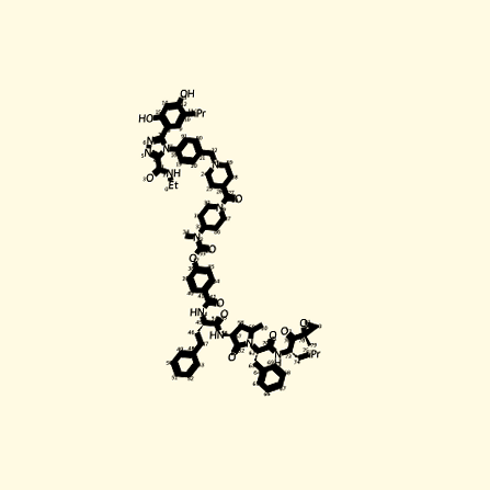 CCNC(=O)c1nnc(-c2cc(C(C)C)c(O)cc2O)n1-c1ccc(CN2CCC(C(=O)N3CCC(N(C)C(=O)Oc4ccc(C(=O)N[C@@H](CCc5ccccc5)C(=O)N[C@H]5CC(C)N([C@@H](Cc6ccccc6)C(=O)N[C@@H](CC(C)C)C(=O)[C@@]6(C)CO6)C5=O)cc4)CC3)CC2)cc1